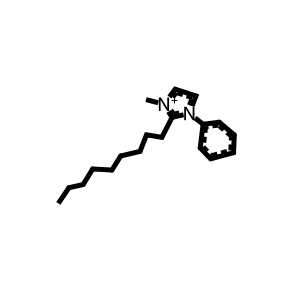 CCCCCCCCCc1n(-c2ccccc2)cc[n+]1C